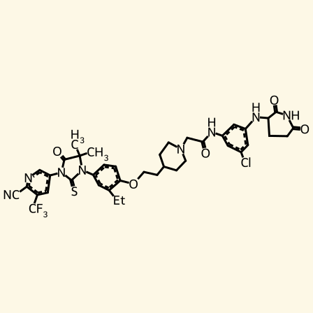 CCc1cc(N2C(=S)N(c3cnc(C#N)c(C(F)(F)F)c3)C(=O)C2(C)C)ccc1OCCC1CCN(CC(=O)Nc2cc(Cl)cc(NC3CCC(=O)NC3=O)c2)CC1